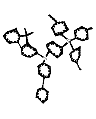 Cc1ccc([Si](c2ccc(C)cc2)(c2ccc(C)cc2)c2ccc(N(c3ccc(-c4ccccc4)cc3)c3ccc4c(c3)C(C)(C)c3ccccc3-4)cc2)cc1